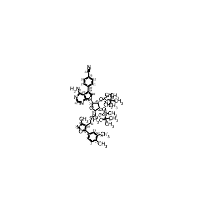 Cc1ccc(-c2onc(C)c2CSC[C@H]2O[C@@H](n3cc(-c4ccc(C#N)cc4)c4c(N)ncnc43)[C@H](O[Si](C)(C)C(C)(C)C)[C@@H]2O[Si](C)(C)C(C)(C)C)cc1C